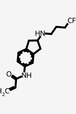 C=CC(=O)Nc1ccc2c(c1)CC(NCCCC(F)(F)F)C2